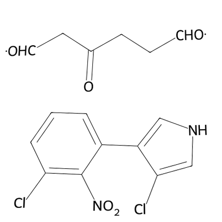 O=[C]CCC(=O)C[C]=O.O=[N+]([O-])c1c(Cl)cccc1-c1c[nH]cc1Cl